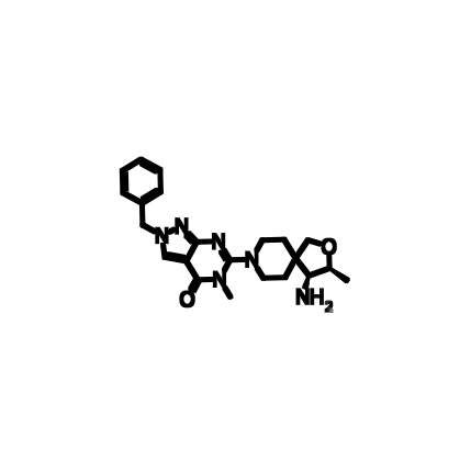 C[C@@H]1OCC2(CCN(c3nc4nn(Cc5ccccc5)cc4c(=O)n3C)CC2)[C@@H]1N